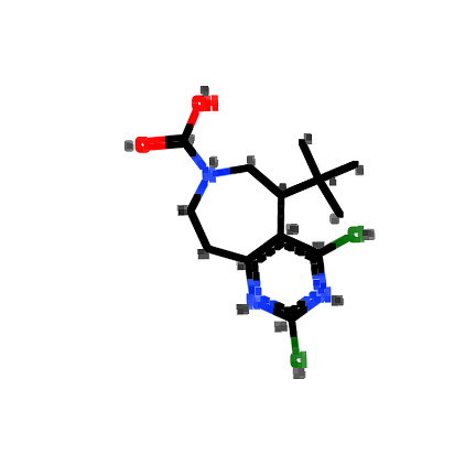 CC(C)(C)C1CN(C(=O)O)CCc2nc(Cl)nc(Cl)c21